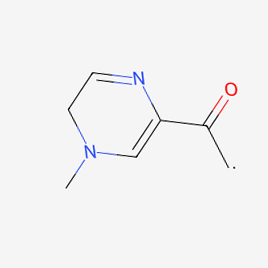 [CH2]C(=O)C1=CN(C)CC=N1